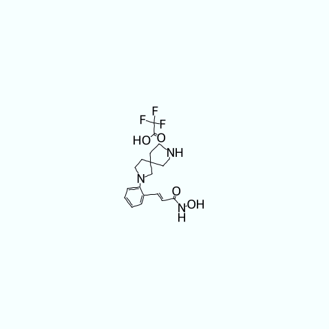 O=C(C=Cc1ccccc1N1CCC2(CCNCC2)C1)NO.O=C(O)C(F)(F)F